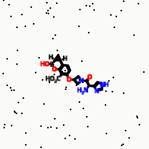 N[C@@H](C(=O)N1CC(Oc2ccc3c(c2C(=O)O)OB(O)[C@H]2C[C@@H]32)C1)c1c[nH]cn1